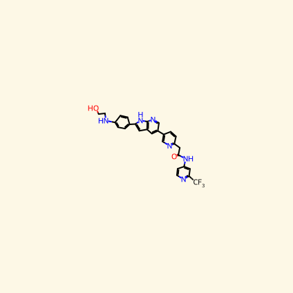 O=C(Cc1ccc(-c2cnc3[nH]c(-c4ccc(NCCO)cc4)cc3c2)cn1)Nc1ccnc(C(F)(F)F)c1